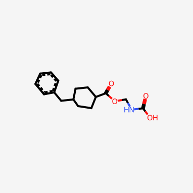 O=C(O)NCOC(=O)C1CCC(Cc2ccccc2)CC1